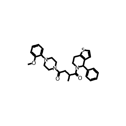 COc1ccccc1N1CCN(C(=O)CC(C)C(=O)N2CCc3sccc3C2c2ccccc2)CC1